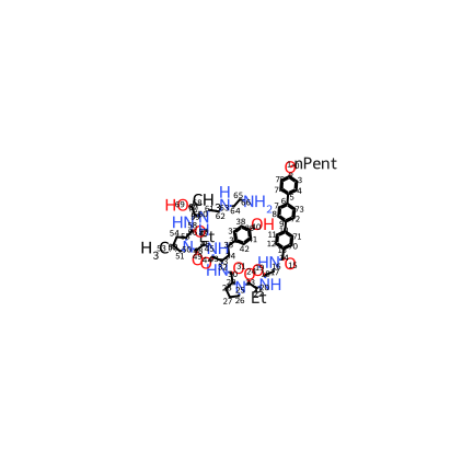 CCCCCOc1ccc(-c2ccc(-c3ccc(C(=O)NCC(=O)NC(CC)C(=O)N4CCCC4C(=O)NC(CCc4ccc(O)cc4)C(=O)NC(CC)C(=O)N4C[C@H](C)CC4C(=O)N[C@H](NCCNCCN)[C@@H](C)O)cc3)cc2)cc1